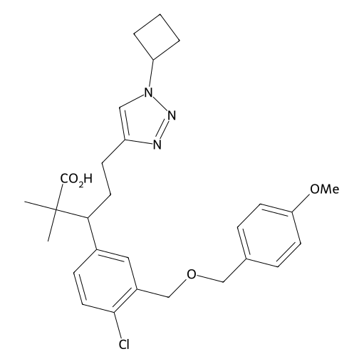 COc1ccc(COCc2cc(C(CCc3cn(C4CCC4)nn3)C(C)(C)C(=O)O)ccc2Cl)cc1